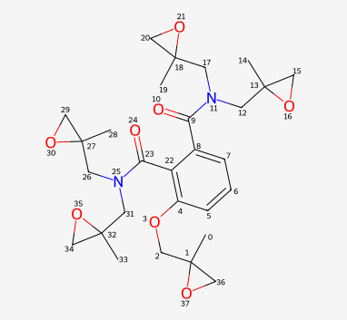 CC1(COc2cccc(C(=O)N(CC3(C)CO3)CC3(C)CO3)c2C(=O)N(CC2(C)CO2)CC2(C)CO2)CO1